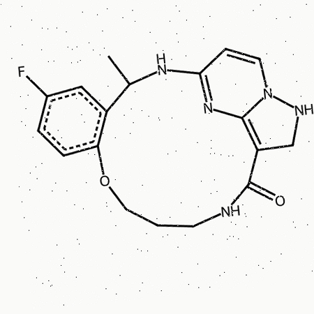 CC1NC2=NC3=C(CNN3C=C2)C(=O)NCCCOc2ccc(F)cc21